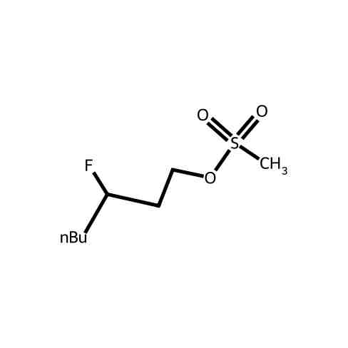 CCCCC(F)CCOS(C)(=O)=O